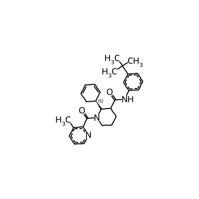 Cc1cccnc1C(=O)N1CCCC(C(=O)Nc2cccc(C(C)(C)C)c2)C1[C@@H]1C=CC=CC1